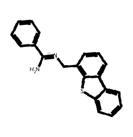 N/C(=N\Cc1cccc2c1sc1ccccc12)c1ccccc1